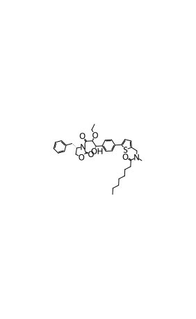 CCCCCCCC(=O)N(C)Cc1ccc(-c2ccc([C@H](O)[C@H](OCC)C(=O)N3C(=O)OC[C@@H]3Cc3ccccc3)cc2)s1